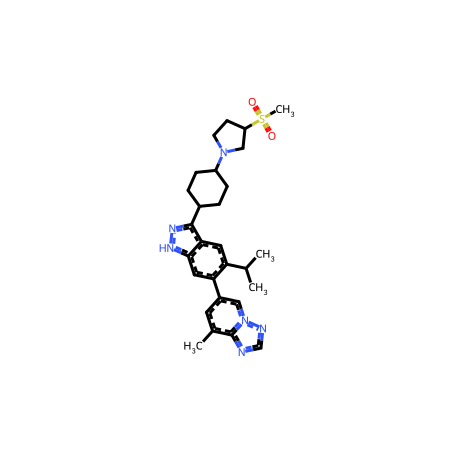 Cc1cc(-c2cc3[nH]nc(C4CCC(N5CCC(S(C)(=O)=O)C5)CC4)c3cc2C(C)C)cn2ncnc12